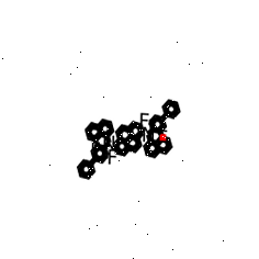 Fc1cc(-c2ccccc2)cc(F)c1N(c1cccc2ccccc12)c1ccc2ccc3c(N(c4c(F)cc(-c5ccccc5)cc4F)c4cccc5ccccc45)ccc4ccc1c2c43